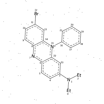 CCN(CC)c1ccc2nc3ccc(Br)cc3[n+](-c3ccccc3)c2c1